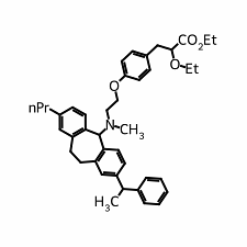 CCCc1ccc2c(c1)CCc1cc(C(C)c3ccccc3)ccc1C2N(C)CCOc1ccc(CC(OCC)C(=O)OCC)cc1